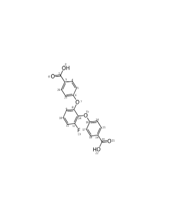 O=C(O)c1ccc(Oc2cccc(F)c2Oc2ccc(C(=O)O)cc2)cc1